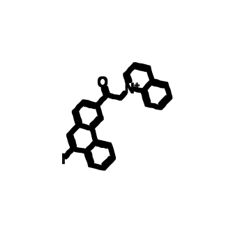 O=C(C[n+]1cccc2ccccc21)c1ccc2cc(I)c3ccccc3c2c1